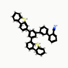 N#Cc1ccccc1-c1cccc(-c2cc(-c3ccc4c(c3)sc3ccccc34)cc(-c3cccc4c3sc3ccccc34)c2)c1